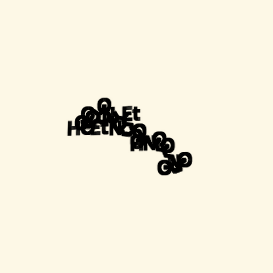 CCc1c2c(nc3ccc(OC(=O)CNC(=O)CC(=O)CCN4C(=O)C=CC4=O)cc13)-c1cc3c(c(=O)n1C2)COC(=O)[C@]3(O)CC